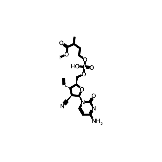 C=C[C@H]1[C@H](C#N)[C@H](n2ccc(N)nc2=O)O[C@@H]1COP(=O)(O)OCCC(C)C(=O)OI